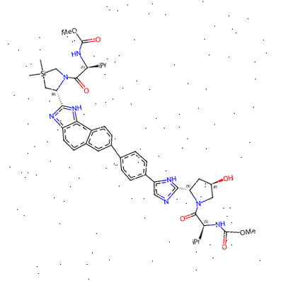 COC(=O)N[C@H](C(=O)N1C[C@H](O)C[C@H]1c1ncc(-c2ccc(-c3ccc4c(ccc5nc([C@@H]6C[Si](C)(C)CN6C(=O)[C@@H](NC(=O)OC)C(C)C)[nH]c54)c3)cc2)[nH]1)C(C)C